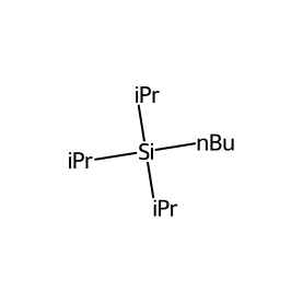 [CH2]CCC[Si](C(C)C)(C(C)C)C(C)C